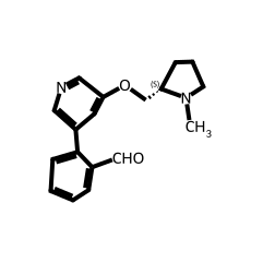 CN1CCC[C@H]1COc1cncc(-c2ccccc2C=O)c1